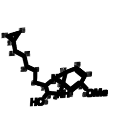 COC1=CC23NC(O)C(CCCCCC4CC4)N2C3C=C1